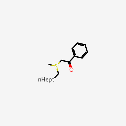 CCCCCCCC[S+](C)CC(=O)c1ccccc1